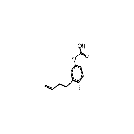 C=CCCc1cc(OC(=O)O)ccc1C